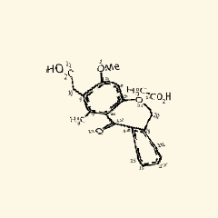 CC(=O)O.COc1cc2c(c(C)c1CC(=O)O)C(=O)c1ccccc1CO2